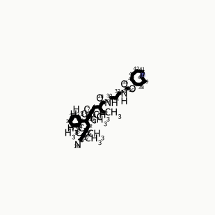 CC(C)C(CC(C)(C)C(C)(C)C(CC(C)(C)C(C)(C)C#N)c1ccccc1)C(=O)NCCCNC(=O)OC1CC/C=C/CCC1